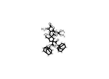 CCC1CC(C(=O)OC23CC4CC(CC(C4)C2)C3)(C(=O)OC23CC4CC(CC(C4)C2)C3)CC1(CC1C(=O)OC(=O)C1C)C(=O)OC(C)(C)C